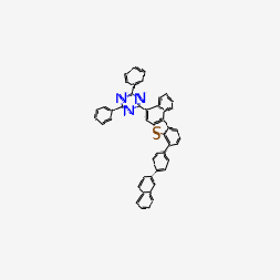 c1ccc(-c2nc(-c3ccccc3)nc(-c3cc4sc5c(-c6ccc(-c7ccc8ccccc8c7)cc6)cccc5c4c4ccccc34)n2)cc1